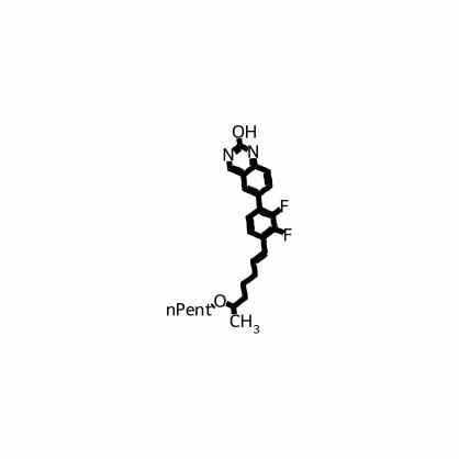 CCCCCOC(C)CCCC=Cc1ccc(-c2ccc3nc(O)ncc3c2)c(F)c1F